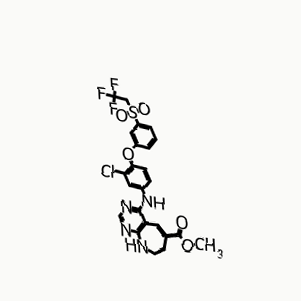 COC(=O)C1=Cc2c(ncnc2Nc2ccc(Oc3cccc(S(=O)(=O)CC(F)(F)F)c3)c(Cl)c2)NCC1